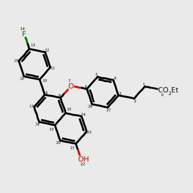 CCOC(=O)CCc1ccc(Oc2c(-c3ccc(F)cc3)ccc3cc(O)ccc23)cc1